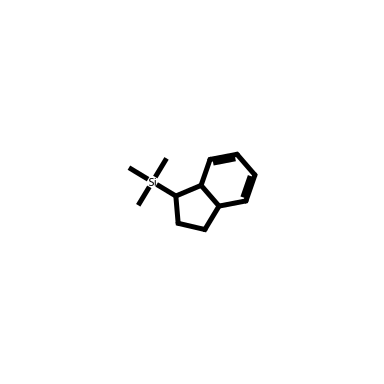 C[Si](C)(C)C1CCC2C=CC=CC21